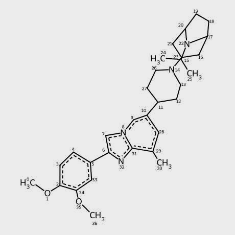 COc1ccc(-c2cn3cc(C4CCN(C5CC6CCC(C5)N6C(C)C)CC4)cc(C)c3n2)cc1OC